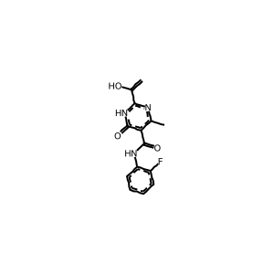 C=C(O)c1nc(C)c(C(=O)Nc2ccccc2F)c(=O)[nH]1